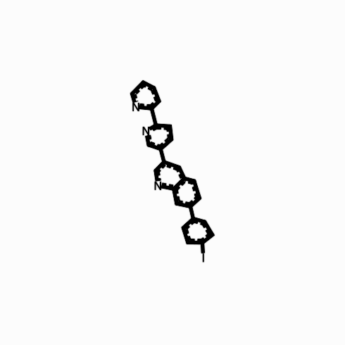 Ic1ccc(-c2ccc3cc(-c4ccc(-c5ccccn5)nc4)cnc3c2)cc1